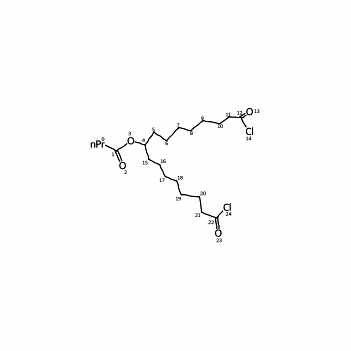 CCCC(=O)OC(CCCCCCCC(=O)Cl)CCCCCCCC(=O)Cl